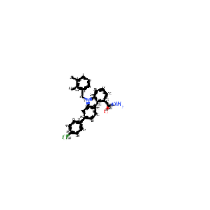 Cc1cccc(Cn2c3cc(-c4ccc(Cl)cc4)c[c]c3c3c(C(N)=O)cccc32)c1C